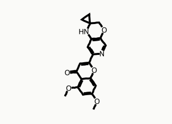 COc1cc(OC)c2c(=O)cc(-c3cc4c(cn3)OCC3(CC3)N4)oc2c1